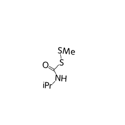 CSSC(=O)NC(C)C